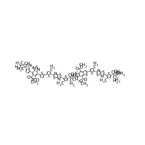 COC(=O)c1c2cc(C(C)(C)C(C)(C)c3cc(C)c(-c4nc5sc(-c6sc(-c7ccc(-c8c9c(c(-c%10ccc(C(C)(C)C(C)(C)C)s%10)c%10nsnc8%10)C(=O)N(C)C9=O)s7)cc6C)nc5s4)s3)sc2c(C(=O)OC)c2cc(-c3cc(C)c(-c4nc5sc(-c6sc(C(C)(C)C(C)(C)N)cc6C)nc5s4)s3)sc12